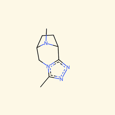 Cc1nnc2n1CC1CCC2N1C